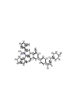 C=C1c2cc(-c3ccc(C4(C)CN4CN4CCC(C)CC4)cc3)cc(F)c2CN1C(/C(=C/C)Nc1ncc[nH]1)c1ncn2c1CCC2